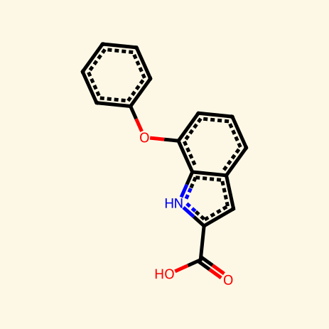 O=C(O)c1cc2cccc(Oc3ccccc3)c2[nH]1